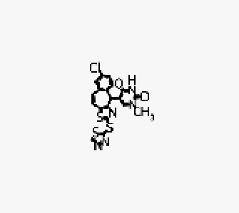 Cn1cc(C2c3ccc(Cl)cc3C=Cc3sc(Sc4nncs4)nc32)c(=O)[nH]c1=O